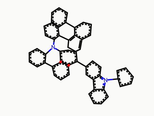 C1=c2cccc(-c3ccccc3)c2=C(c2ccccc2N(c2ccc(-c3ccc4c(c3)c3ccccc3n4-c3ccccc3)cc2)c2ccccc2-c2ccccc2)CC1